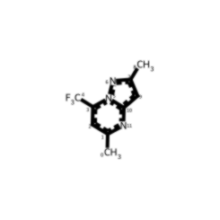 Cc1cc(C(F)(F)F)n2nc(C)cc2n1